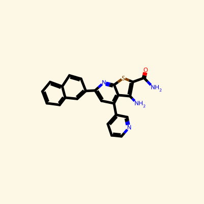 NC(=O)c1sc2nc(-c3ccc4ccccc4c3)cc(-c3cccnc3)c2c1N